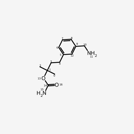 CC(C)(CCc1cccc(CN)c1)OC(N)=O